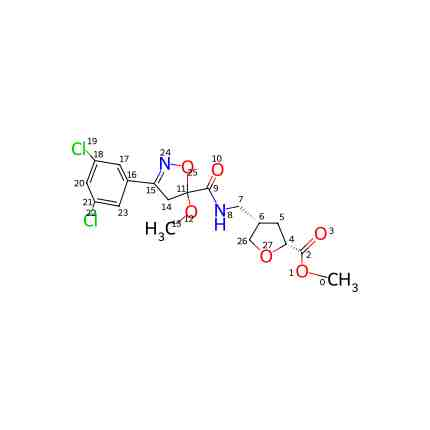 COC(=O)[C@H]1C[C@@H](CNC(=O)C2(OC)CC(c3cc(Cl)cc(Cl)c3)=NO2)CO1